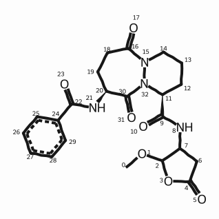 COC1OC(=O)CC1NC(=O)[C@@H]1CCCN2C(=O)CC[C@H](NC(=O)c3ccccc3)C(=O)N12